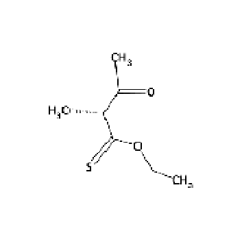 CCOC(=S)[C@H](C)C(C)=O